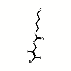 O=C(OCCCCCl)OCC(I)=C(Br)I